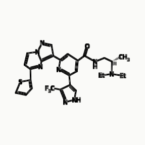 CCN(CC)[C@@H](C)CNC(=O)c1cc(-c2c[nH]nc2C(F)(F)F)nc(-c2cnn3ccc(-c4cccs4)nc23)c1